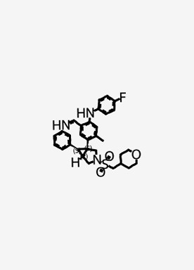 Cc1cc(Nc2ccc(F)cc2)c(C=N)cc1[C@@]12CN(S(=O)(=O)CC3CCOCC3)C[C@@H]1[C@H]2c1ccccc1